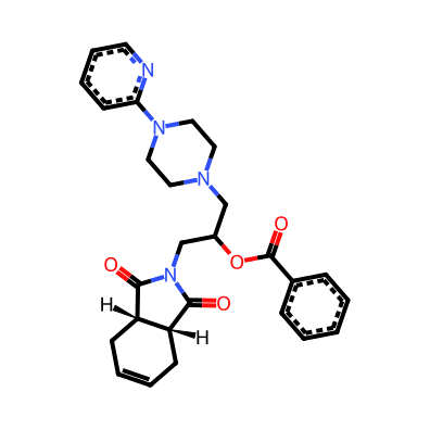 O=C(OC(CN1CCN(c2ccccn2)CC1)CN1C(=O)[C@H]2CC=CC[C@H]2C1=O)c1ccccc1